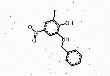 O=[N+]([O-])c1cc(F)c(O)c(NCc2ccccc2)c1